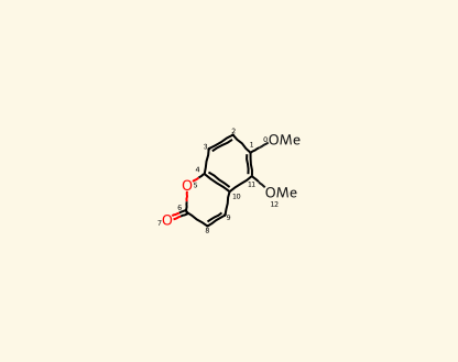 COc1ccc2oc(=O)ccc2c1OC